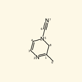 CC1=NC=CN(C#N)C1